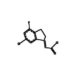 O=C(Cl)C=C1CCc2c(F)cc(Cl)cc21